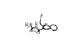 N=C(N)NC(=O)c1cc2c(nc1CF)CCCCC2